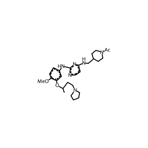 COc1ccc(Nc2nccc(NCC3CCN(C(C)=O)CC3)n2)cc1OC(C)CCN1CCCC1